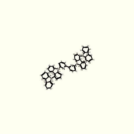 c1cc(-c2cccc(-n3c4ccccc4c4c(-n5c6ccccc6c6ccccc65)cccc43)n2)nc(-n2c3ccccc3c3c(-n4c5ccccc5c5ccccc54)cccc32)c1